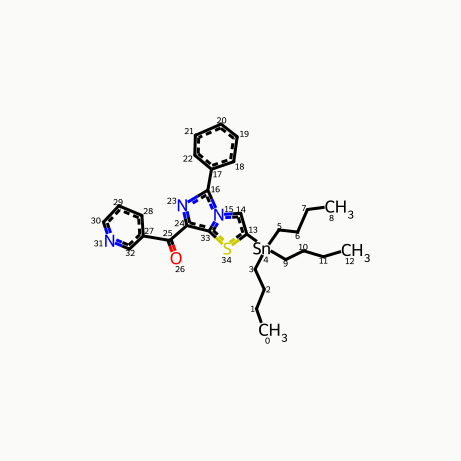 CCC[CH2][Sn]([CH2]CCC)([CH2]CCC)[c]1cn2c(-c3ccccc3)nc(C(=O)c3cccnc3)c2s1